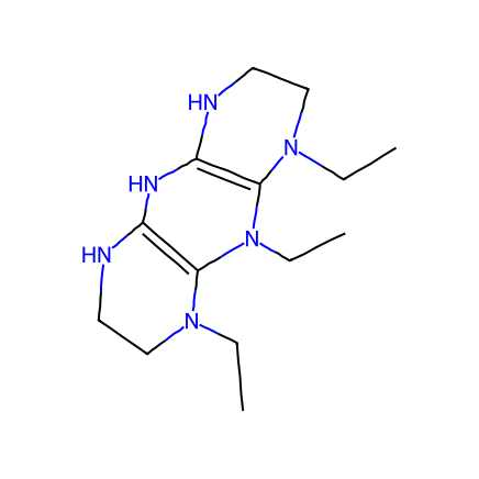 CCN1CCNC2=C1N(CC)C1=C(NCCN1CC)N2